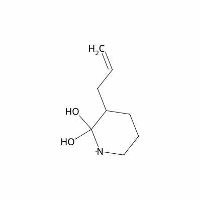 C=CCC1CCC[N]C1(O)O